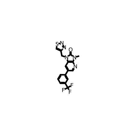 Cn1c(=O)n(Cc2csnn2)c2cc(-c3cccc(C(F)(F)F)c3)cnc21